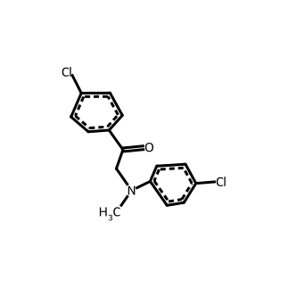 CN(CC(=O)c1ccc(Cl)cc1)c1ccc(Cl)cc1